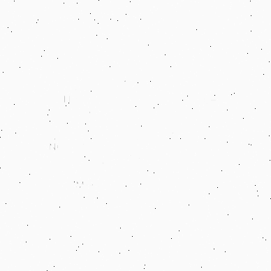 COC(=O)C(C#N)=C(C)c1ccc(C)cc1